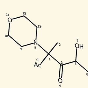 CC(=O)C(C)(C(=O)C(C)O)N1CCOCC1